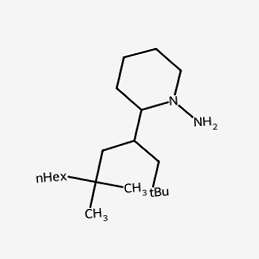 CCCCCCC(C)(C)CC(CC(C)(C)C)C1CCCCN1N